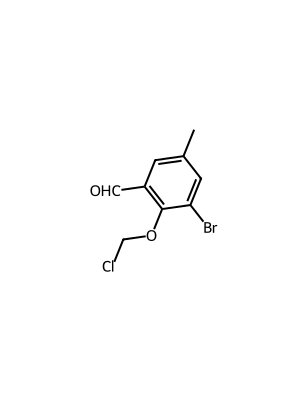 Cc1cc(Br)c(OCCl)c(C=O)c1